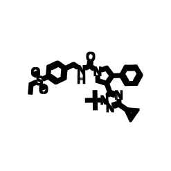 CCS(=O)(=O)c1ccc(CNC(=O)N2CC(c3ccccc3)C(c3nc(C4CC4)nn3C(C)(C)C)C2)cc1